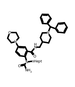 CCCCCCCN(C(N)=O)c1ccc(N2CCOCC2)cc1C(=O)NCC1CCN(C(c2ccccc2)c2ccccc2)CC1